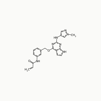 C=CC(=O)Nc1cccc(COc2nc(Nc3cnn(C)c3)nc3[nH]ccc23)c1